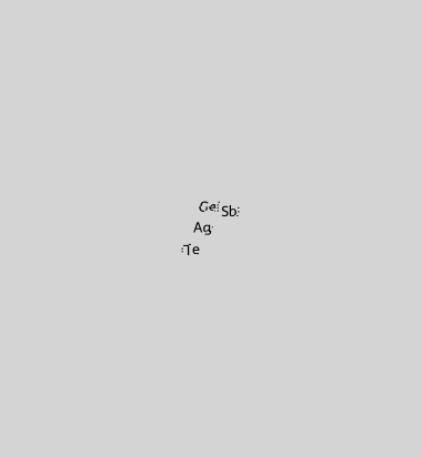 [Ag].[Ge].[Sb].[Te]